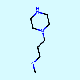 C[N]CCCN1CCNCC1